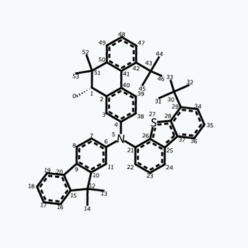 C[C@H]1c2cc(N(c3ccc4c(c3)C(C)(C)c3ccccc3-4)c3cccc4c3sc3c(C(C)(C)C)cccc34)ccc2-c2c(C(C)(C)C)cccc2C1(C)C